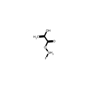 C=C(O)C(=O)O[SiH2]F